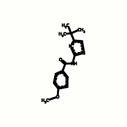 COc1ccc(C(=O)Nc2nc(C(C)(C)C)cs2)cc1